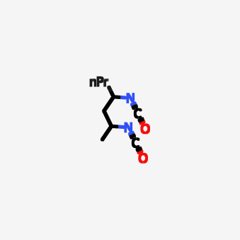 CCCC(CC(C)N=C=O)N=C=O